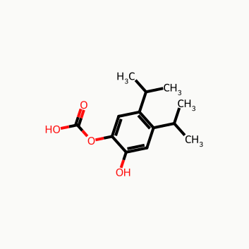 CC(C)c1cc(O)c(OC(=O)O)cc1C(C)C